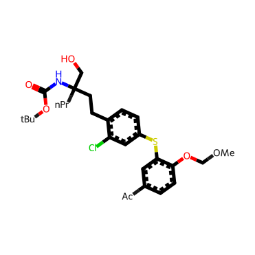 CCCC(CO)(CCc1ccc(Sc2cc(C(C)=O)ccc2OCOC)cc1Cl)NC(=O)OC(C)(C)C